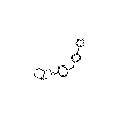 c1cc(-c2ccc(Cc3ccc(OC[C@H]4CCCCN4)cc3)cc2)cs1